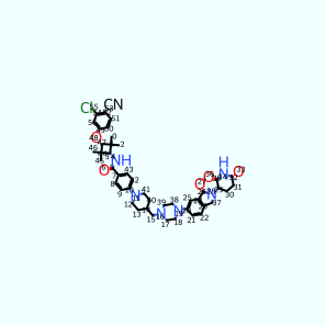 CC1(C)C(NC(=O)c2ccc(N3CCC(CN4CCN(c5ccc6c(c5)C(=O)N(C5CCC(=O)NC5=O)C6)CC4)CC3)cc2)C(C)(C)C1Oc1ccc(C#N)c(Cl)c1